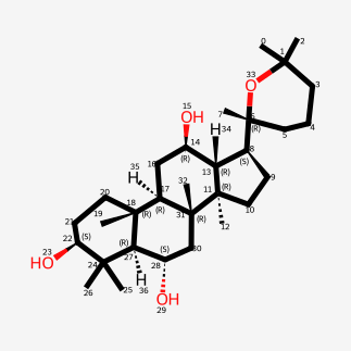 CC1(C)CCC[C@](C)([C@H]2CC[C@]3(C)[C@@H]2[C@H](O)C[C@@H]2[C@@]4(C)CC[C@H](O)C(C)(C)[C@@H]4[C@@H](O)C[C@]23C)O1